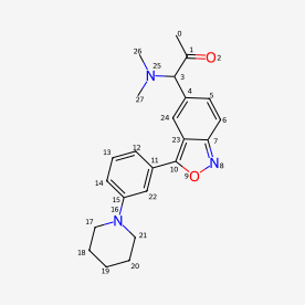 CC(=O)C(c1ccc2noc(-c3cccc(N4CCCCC4)c3)c2c1)N(C)C